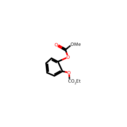 CCOC(=O)Oc1ccccc1OC(=O)OC